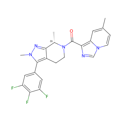 Cc1ccn2cnc(C(=O)N3CCc4c(nn(C)c4-c4cc(F)c(F)c(F)c4)[C@@H]3C)c2c1